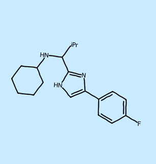 CC(C)C(NC1CCCCC1)c1nc(-c2ccc(F)cc2)c[nH]1